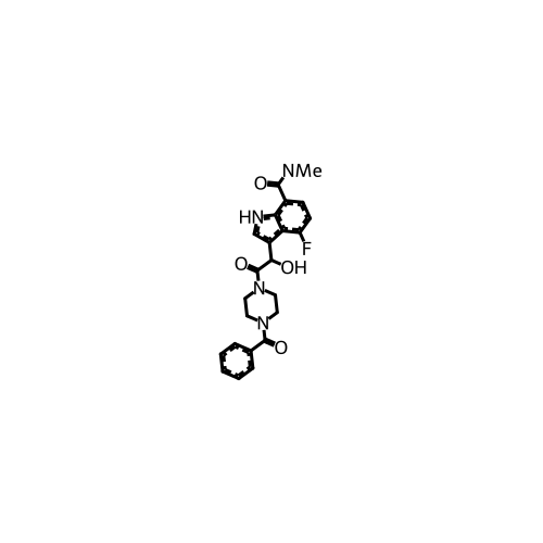 CNC(=O)c1ccc(F)c2c(C(O)C(=O)N3CCN(C(=O)c4ccccc4)CC3)c[nH]c12